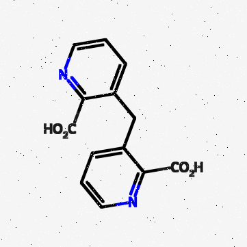 O=C(O)c1ncccc1Cc1cccnc1C(=O)O